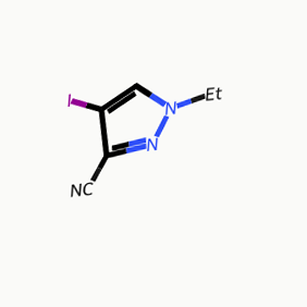 CCn1cc(I)c(C#N)n1